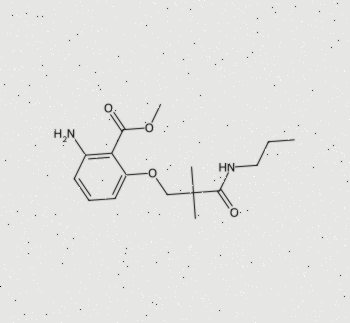 CCCNC(=O)C(C)(C)COc1cccc(N)c1C(=O)OC